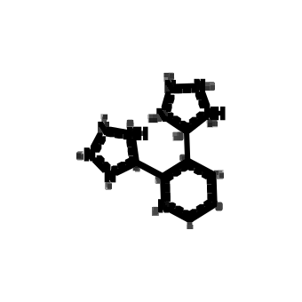 c1cnc(-c2nnn[nH]2)c(-c2nnn[nH]2)c1